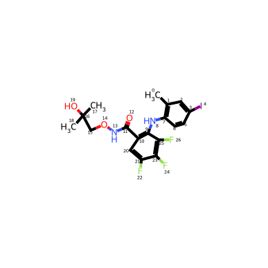 Cc1cc(I)ccc1Nc1c(C(=O)NOCC(C)(C)O)cc(F)c(F)c1F